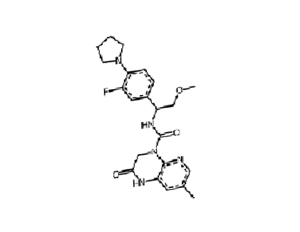 COCC(NC(=O)N1CC(=O)Nc2cc(C)cnc21)c1ccc(N2CCCC2)c(F)c1